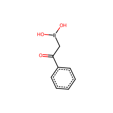 O=C(CB(O)O)c1ccccc1